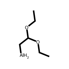 CCOC([CH2][AlH2])OCC